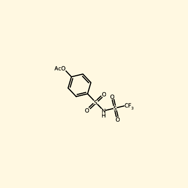 CC(=O)Oc1ccc(S(=O)(=O)NS(=O)(=O)C(F)(F)F)cc1